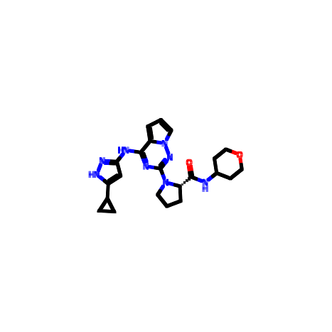 O=C(NC1CCOCC1)[C@@H]1CCCN1c1nc(Nc2cc(C3CC3)[nH]n2)c2cccn2n1